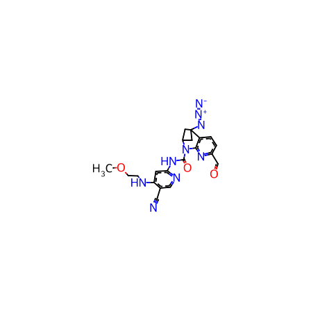 COCCNc1cc(NC(=O)N2c3nc(C=O)ccc3C3(N=[N+]=[N-])CC2C3)ncc1C#N